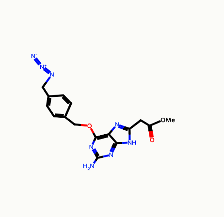 COC(=O)Cc1nc2c(OCc3ccc(CN=[N+]=[N-])cc3)nc(N)nc2[nH]1